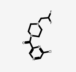 O=C(c1cncc(Cl)n1)N1CCN(CC(F)F)CC1